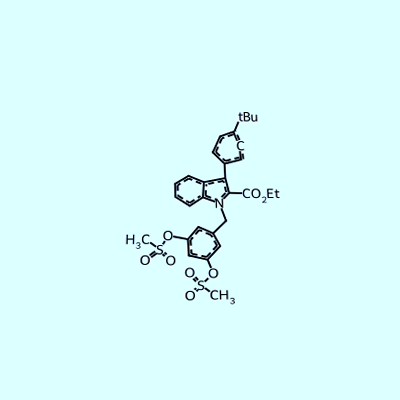 CCOC(=O)c1c(-c2ccc(C(C)(C)C)cc2)c2ccccc2n1Cc1cc(OS(C)(=O)=O)cc(OS(C)(=O)=O)c1